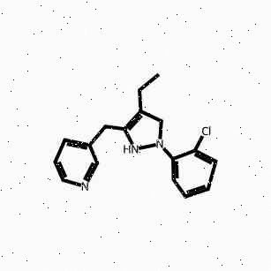 CCC1=C(Cc2cccnc2)NN(c2ccccc2Cl)C1